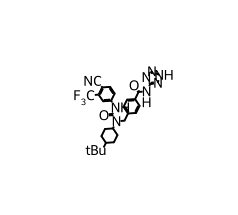 CC(C)(C)C1CCC(N(Cc2ccc(C(=O)Nc3nn[nH]n3)cc2)C(=O)Nc2ccc(C#N)c(C(F)(F)F)c2)CC1